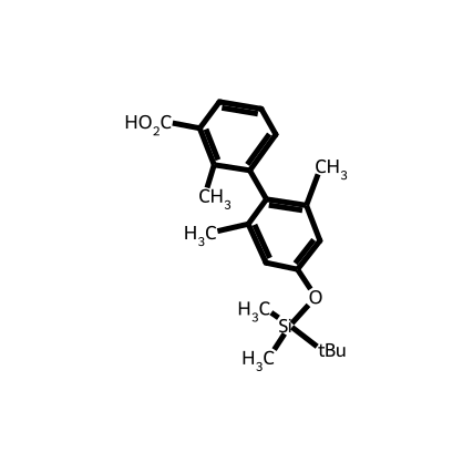 Cc1cc(O[Si](C)(C)C(C)(C)C)cc(C)c1-c1cccc(C(=O)O)c1C